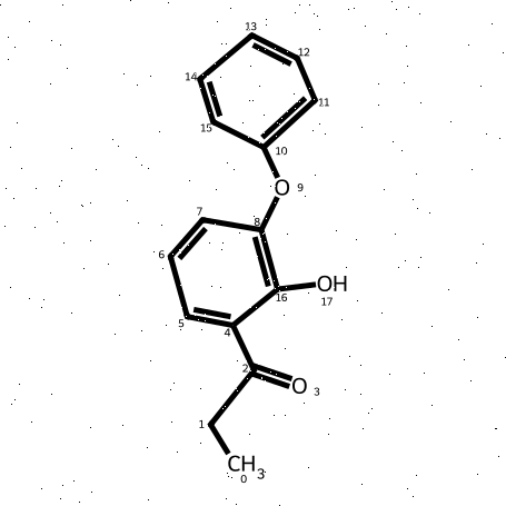 CCC(=O)c1cccc(Oc2ccccc2)c1O